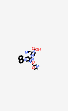 C[C@@H]1CO[C@@H](COc2nc3c(c(N4CCN(C(=O)O)[C@@H](CC#N)C4)n2)CCN(c2cccc4ccccc24)C3)CN1C